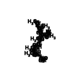 CCN(C(=O)OCc1ccc(NC(=O)C(C)NC(=O)C(NC(=O)CCCCCN2C(=O)C=CC2=O)C(C)C)cc1)c1cc(C2(Cc3nncn3C)COC2)cc(N2Cc3c(SC)cc(CN4CCC[C@H](C)C4)cc3C2=O)n1